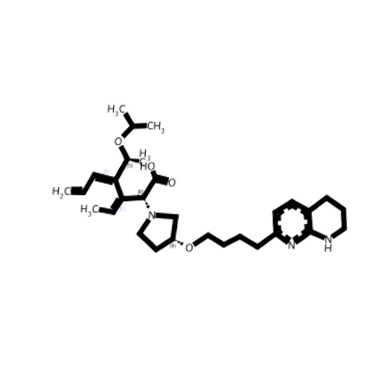 C=C/C=C(\C(=C/C)[C@H](C(=O)O)N1CC[C@@H](OCCCCc2ccc3c(n2)NCCC3)C1)[C@H](C)OC(C)C